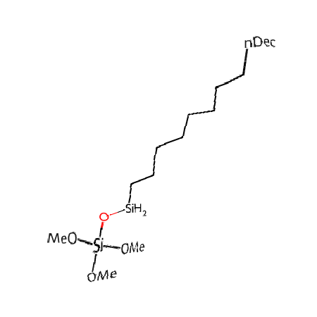 CCCCCCCCCCCCCCCCCC[SiH2]O[Si](OC)(OC)OC